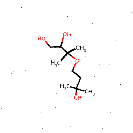 CC(C)(O)CCOC(C)(C)C(O)CO